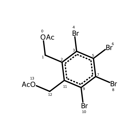 CC(=O)OCc1c(Br)c(Br)c(Br)c(Br)c1COC(C)=O